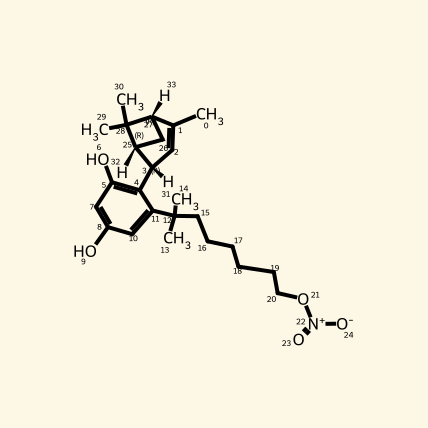 CC1=C[C@H](c2c(O)cc(O)cc2C(C)(C)CCCCCCO[N+](=O)[O-])[C@H]2C[C@@H]1C2(C)C